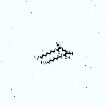 [C-]#[N+]C(=CC=CC(C#N)=C(O)OCCCCCCCC)C(=O)OCCCCCCCC